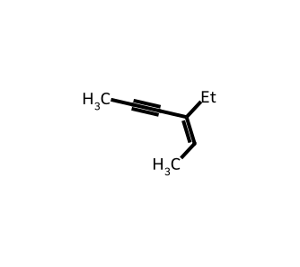 CC#CC(=CC)CC